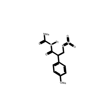 CCN(C(=O)C(CN=S(=O)=O)c1ccc(OC)cc1)C(=S)NC